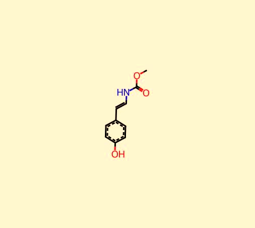 COC(=O)N/C=C/c1ccc(O)cc1